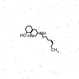 CC/C=C\CCSNC1CNC2=C(CCCC2O)C1